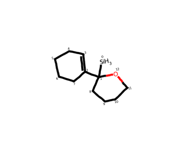 [SiH3]C1(C2=CCCCC2)CCCCO1